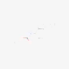 CC(C)(C)OC(=O)N[C@@H](CCl)CCC(=O)O